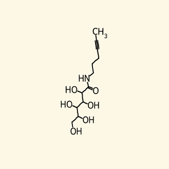 CC#CCCCNC(=O)C(O)C(O)C(O)C(O)CO